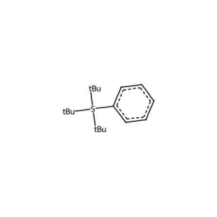 CC(C)(C)S(c1ccccc1)(C(C)(C)C)C(C)(C)C